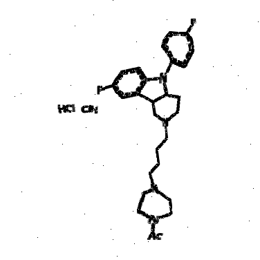 CC(=O)N1CCN(CCCCN2CCC3C(C2)c2cc(F)ccc2N3c2ccc(F)cc2)CC1.Cl.Cl